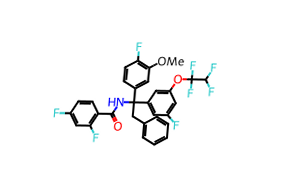 COc1cc(C(Cc2ccccc2)(NC(=O)c2ccc(F)cc2F)c2cc(F)cc(OC(F)(F)C(F)F)c2)ccc1F